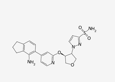 Nc1c(-c2ccnc(O[C@@H]3COCC3n3ccc(S(N)(=O)=O)n3)c2)ccc2c1CCC2